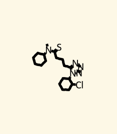 CN(C(=S)CCCc1nnnn1C1CCCCC1Cl)C1CCCCC1